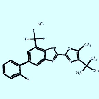 Cc1oc(-c2nc3cc(-c4ccccc4F)cc(C(F)(F)F)c3[nH]2)nc1C(C)(C)C.Cl